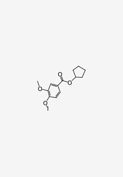 COc1cc(C(=O)OC2CCCC2)ccc1OI